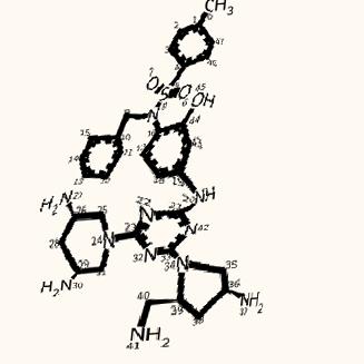 Cc1ccc(S(=O)(=O)N(Cc2ccccc2)c2ccc(Nc3nc(N4C[C@H](N)C[C@H](N)C4)nc(N4C[C@@H](N)C[C@H]4CN)n3)cc2O)cc1